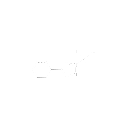 FC(F)(F)C(F)(F)n1cc(-c2ccccc2)nn1